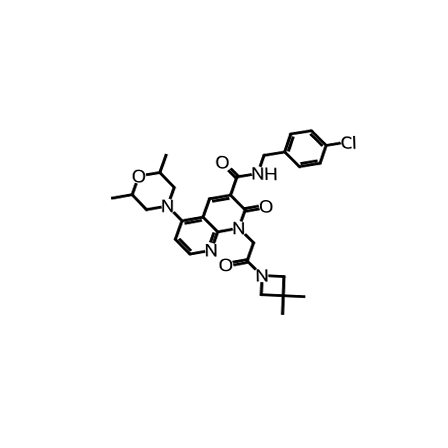 CC1CN(c2ccnc3c2cc(C(=O)NCc2ccc(Cl)cc2)c(=O)n3CC(=O)N2CC(C)(C)C2)CC(C)O1